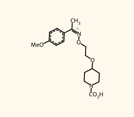 COc1ccc(/C(C)=N\OCCOC2CCN(C(=O)O)CC2)cc1